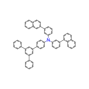 c1ccc(-c2cc(-c3ccccc3)cc(-c3ccc(N(c4cccc(-c5ccc6ccccc6c5)c4)c4cccc(-c5cccc6ccccc56)c4)cc3)c2)cc1